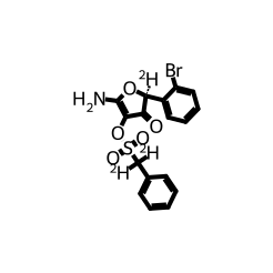 [2H]C([2H])(c1ccccc1)S(=O)(=O)OC1=C(N)O[C@@]([2H])(c2ccccc2Br)C1=O